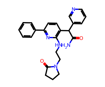 NC(=O)C(c1cccnc1)c1ccc(-c2ccccc2)nc1NCCN1CCCC1=O